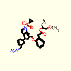 COCC(C)OC(=O)Cc1ccccc1OCc1cc(-c2cccc(CN)c2)c2ccn(S(=O)(=O)C3CC3)c2c1